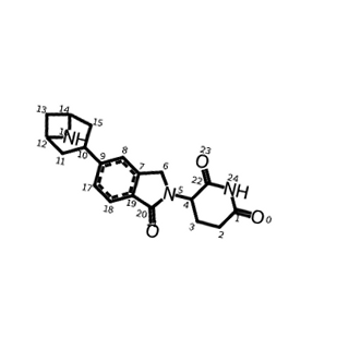 O=C1CCC(N2Cc3cc(C4CC5CC(C4)N5)ccc3C2=O)C(=O)N1